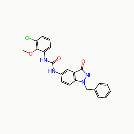 COc1c(Cl)cccc1NC(=O)Nc1ccc2c(c1)c(=O)[nH]n2Cc1ccccc1